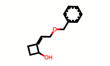 OC1CCC1=CCOCc1ccccc1